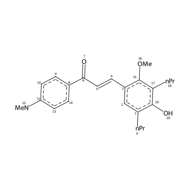 CCCc1cc(/C=C/C(=O)c2ccc(NC)cc2)c(OC)c(CCC)c1O